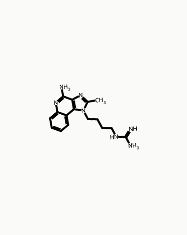 Cc1nc2c(N)nc3ccccc3c2n1CCCCNC(=N)N